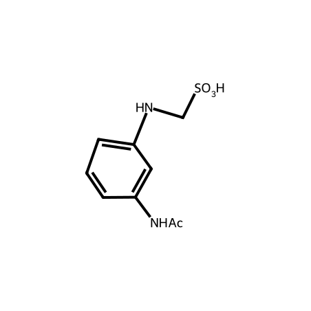 CC(=O)Nc1cccc(NCS(=O)(=O)O)c1